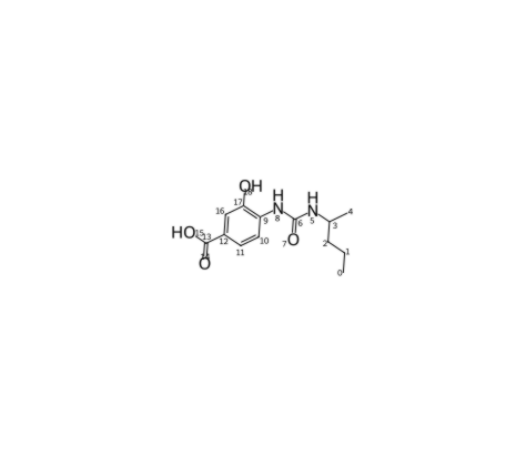 CCCC(C)NC(=O)Nc1ccc(C(=O)O)cc1O